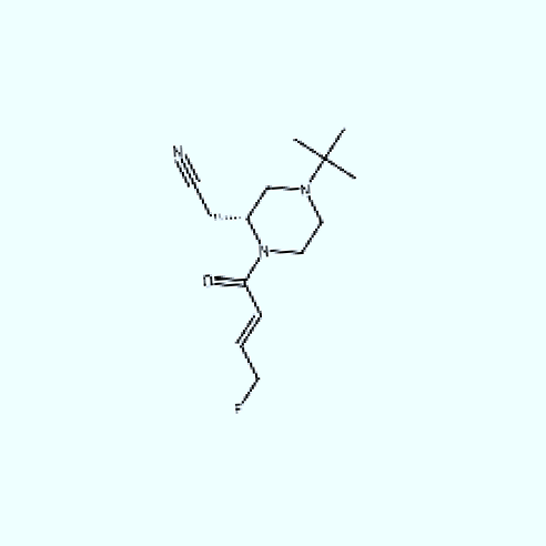 CC(C)(C)N1CCN(C(=O)/C=C/CF)[C@H](CC#N)C1